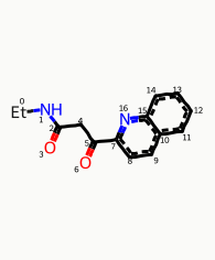 CCNC(=O)CC(=O)c1ccc2ccccc2n1